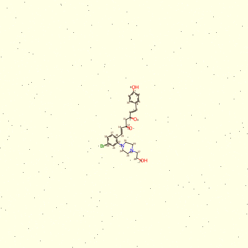 O=C(/C=C/c1ccc(O)cc1)CC(=O)/C=C/c1ccc(Br)cc1N1CCN(CCO)CC1